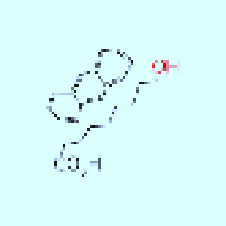 O=C(O)CCCCCCCCO.c1ccc2cc3ccccc3cc2c1